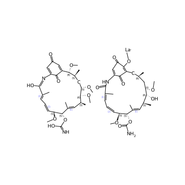 COC1=C2C[C@@H](C)C[C@H](OC)[C@H](O)[C@@H](C)/C=C(\C)[C@H](OC(N)=O)[C@@H](OC)/C=C\C=C(/C)C(=O)NC(=CC1=O)C2=O.CO[C@H]1[C@@H](OC)C[C@H](C)[C@@H](OC)C2=CC(=O)C=C(N=C(O)/C(C)=C/C=C\[C@H](OC)[C@@H](OC(=N)O)/C(C)=C/[C@@H]1C)C2=O.[La]